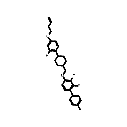 C=CCCOc1ccc(C2CCC(COc3ccc(-c4ccc(C)cc4)c(F)c3F)CC2)c(F)c1